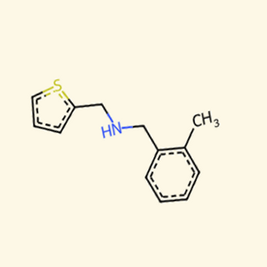 Cc1ccccc1CNCc1cccs1